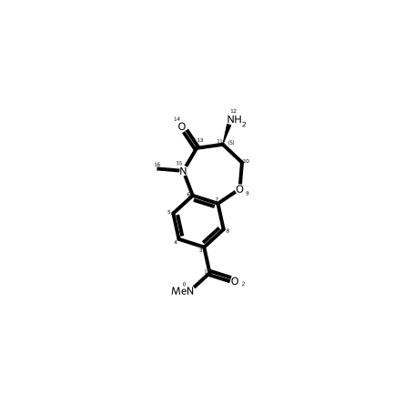 CNC(=O)c1ccc2c(c1)OC[C@H](N)C(=O)N2C